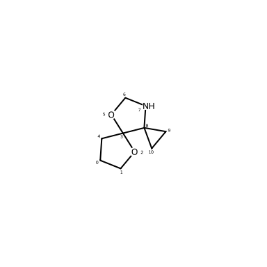 C1COC2(C1)OCNC21CC1